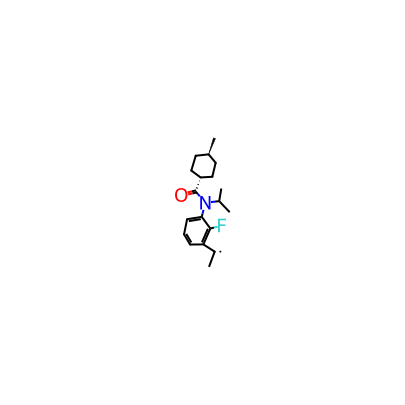 C[CH]c1cccc(N(C(=O)[C@H]2CC[C@H](C)CC2)C(C)C)c1F